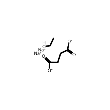 CCO.O=C([O-])CCC(=O)[O-].[Na+].[Na+]